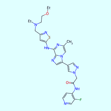 CCOCCN(CC)Cc1cc(Nc2nc(C)cn3c(-c4cnn(CC(=O)Nc5ccncc5F)c4)cnc23)sn1